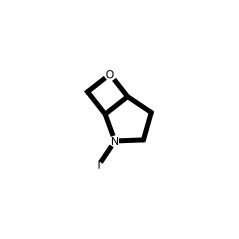 IN1CCC2OCC21